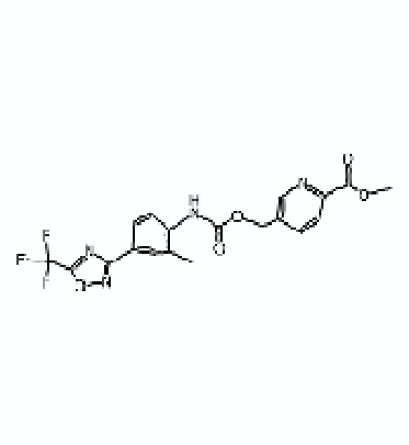 COC(=O)c1ccc(COC(=O)Nc2ccc(-c3noc(C(F)(F)F)n3)cc2C)cn1